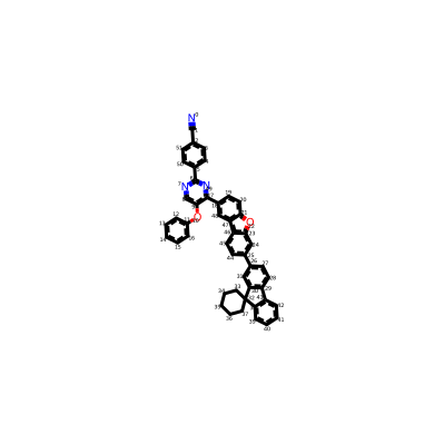 N#Cc1ccc(-c2ncc(Oc3ccccc3)c(-c3ccc4oc5cc(-c6ccc7c(c6)C6(CCCCC6)c6ccccc6-7)ccc5c4c3)n2)cc1